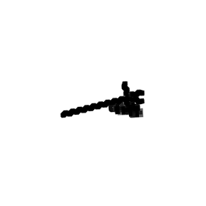 CCCCCCCCCCCCCCCCC(CC(COP(=O)(O)O)[N+](CCCC)(CCCC)CCCC)OC(C)=O